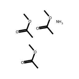 COC(C)=O.COC(C)=O.COC(C)=O.N